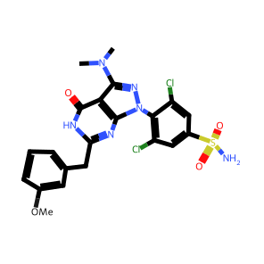 COc1cccc(Cc2nc3c(c(N(C)C)nn3-c3c(Cl)cc(S(N)(=O)=O)cc3Cl)c(=O)[nH]2)c1